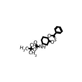 CC(C)(C)OC(=O)N[C@H]1CCC(OC(=S)c2ccccc2)C(=O)C1